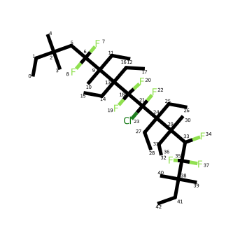 CCC(C)(C)CC(F)(F)C(C)(CC)C(CC)(CC)C(F)(F)C(F)(Cl)C(CC)(CC)C(C)(CC)C(F)C(F)(F)C(C)(C)CC